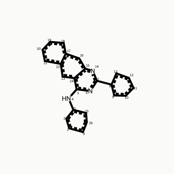 c1ccc(Nc2nc(-c3ccccc3)nc3cc4ccccc4cc23)cc1